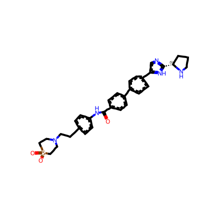 O=C(Nc1ccc(CCN2CCS(=O)(=O)CC2)cc1)c1ccc(-c2ccc(-c3cnc([C@@H]4CCCN4)[nH]3)cc2)cc1